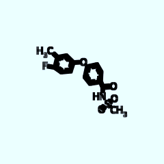 Cc1cc(Oc2ccc(C(=O)NS(C)(=O)=O)cc2)ccc1F